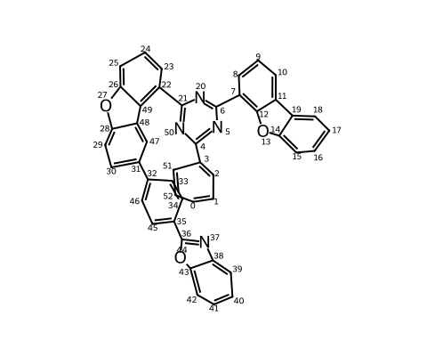 c1ccc(-c2nc(-c3cccc4c3oc3ccccc34)nc(-c3cccc4oc5ccc(-c6ccc(-c7nc8ccccc8o7)cc6)cc5c34)n2)cc1